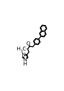 C[C@@H](Cc1c[nH]cn1)C(=O)Cc1ccc(-c2ccc3ccccc3c2)cc1